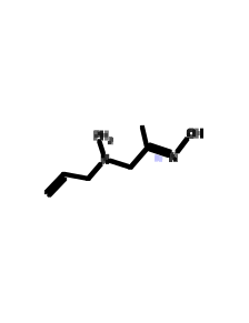 C=CCN(P)C/C(C)=N/O